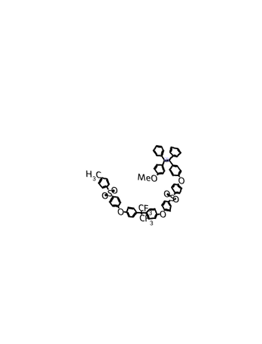 COc1ccc(/C(=C(/c2ccccc2)c2ccc(Oc3ccc(S(=O)(=O)c4ccc(Oc5ccc(C(c6ccc(Oc7ccc(S(=O)(=O)c8ccc(C)cc8)cc7)cc6)(C(F)(F)F)C(F)(F)F)cc5)cc4)cc3)cc2)c2ccccc2)cc1